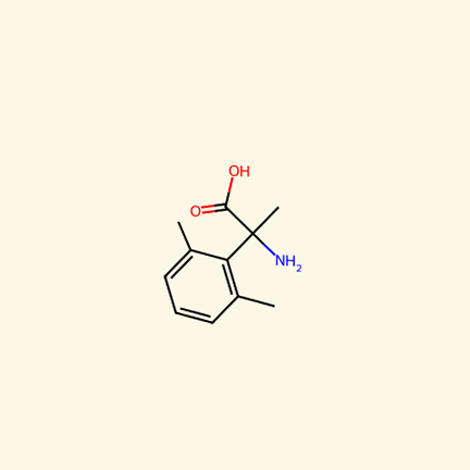 Cc1cccc(C)c1C(C)(N)C(=O)O